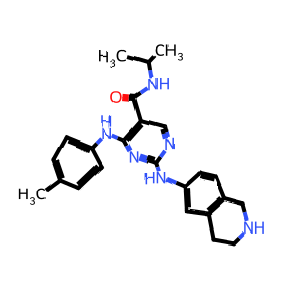 Cc1ccc(Nc2nc(Nc3ccc4c(c3)CCNC4)ncc2C(=O)NC(C)C)cc1